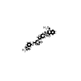 CCn1cc(S(=O)(=O)N2CCC3(CC2)CC(N(CC(O)COc2cccc(S(N)(=O)=O)c2)C(=O)O)CO3)c(=O)c2ccccc21